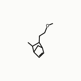 COCCC1C2C=CC(C2)C1C